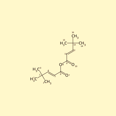 CC(C)(C)/C=C/C(=O)OC(=O)/C=C/C(C)(C)C